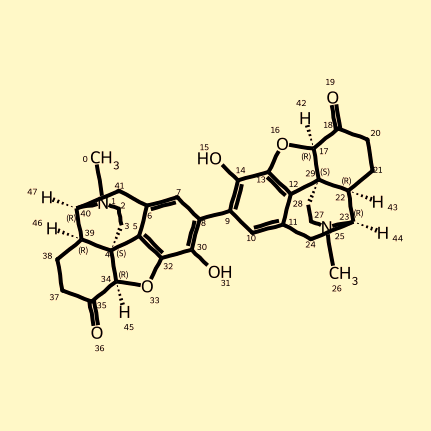 CN1CC[C@]23c4c5cc(-c6cc7c8c(c6O)O[C@H]6C(=O)CC[C@H]9[C@@H](C7)N(C)CC[C@]869)c(O)c4O[C@H]2C(=O)CC[C@H]3[C@H]1C5